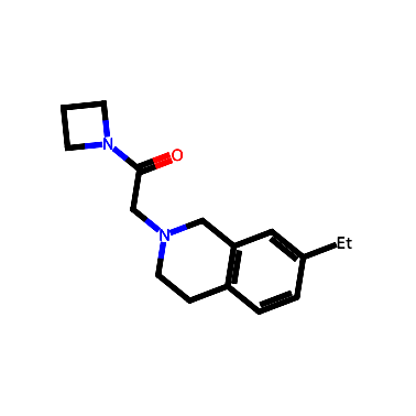 CCc1ccc2c(c1)CN(CC(=O)N1CCC1)CC2